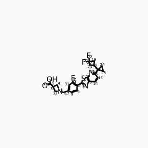 O=C(O)C1CN(Cc2ccc(-c3nc4ccc(C5(C6CC(F)(F)C6)CC5)nc4s3)c(F)c2)C1